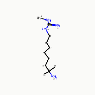 CC(C)NC(=N)NCCCCCCC(C)(C)N